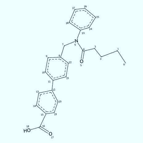 CCCCC(=O)N(Cc1ccc(-c2ccc(C(=O)O)cc2)cc1)c1ccccc1